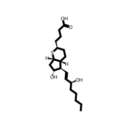 CCCCC[C@H](O)/C=C/[C@@H]1[C@H]2CC[C@H](CCCC(=O)O)S[C@H]2C[C@H]1O